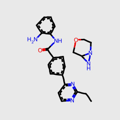 C1CN2NC2CO1.CCc1nccc(-c2ccc(C(=O)Nc3ccccc3N)cc2)n1